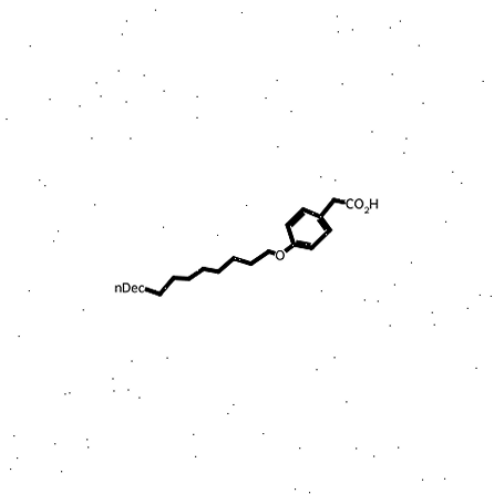 CCCCCCCCCCCCCCCCCCOc1ccc(CC(=O)O)cc1